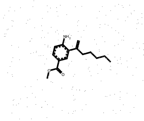 C=C(CCCCC)c1cc(C(=O)OC)ccc1N